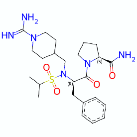 CC(C)S(=O)(=O)N(CC1CCN(C(=N)N)CC1)[C@H](Cc1ccccc1)C(=O)N1CCC[C@H]1C(N)=O